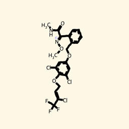 CNC(=O)/C(=N/OC)c1ccccc1COc1cc(Cl)c(OCC=C(Cl)C(F)(F)F)c(Cl)c1